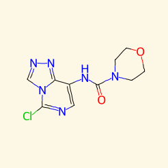 O=C(Nc1cnc(Cl)n2cnnc12)N1CCOCC1